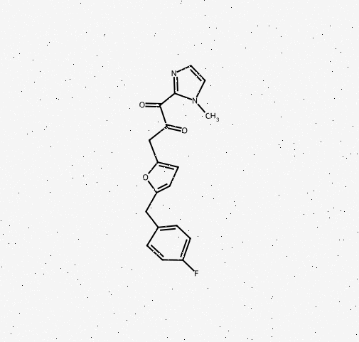 Cn1ccnc1C(=O)C(=O)Cc1ccc(Cc2ccc(F)cc2)o1